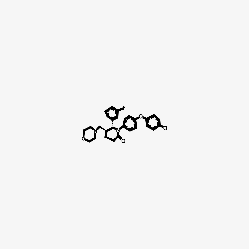 O=C1CC[C@@H](CN2CCOCC2)[C@H](c2cccc(F)c2)N1c1ccc(Oc2ccc(Cl)cc2)cc1